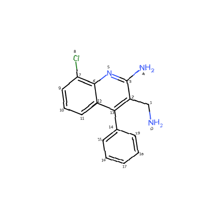 NCc1c(N)nc2c(Cl)cccc2c1-c1ccccc1